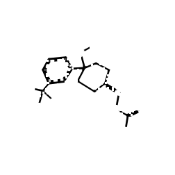 COC1(c2cccc(C(F)(F)F)c2)CCC(=NOC(C)=O)CC1